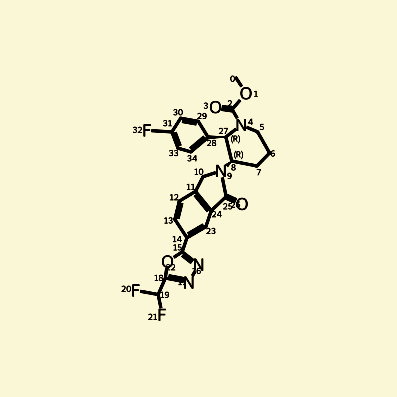 COC(=O)N1CCC[C@@H](N2Cc3ccc(-c4nnc(C(F)F)o4)cc3C2=O)[C@H]1c1ccc(F)cc1